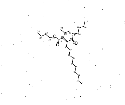 CCCCCCCCCCC(C(=O)OCCCC)=C(C(=O)OCCCC)C(C)C